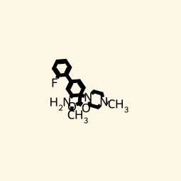 COC(=O)C1(N2CCN(C)CC2)C=CC(c2ccccc2F)=CC1N